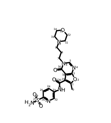 Cc1oc2ncn(CCCN3CCOCC3)c(=O)c2c1C(=O)Nc1ccc(S(N)(=O)=O)nc1